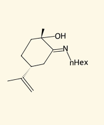 C=C(C)[C@@H]1CC[C@](C)(O)C(=NCCCCCC)C1